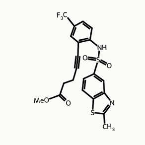 COC(=O)CCC#Cc1cc(C(F)(F)F)ccc1NS(=O)(=O)c1ccc2sc(C)nc2c1